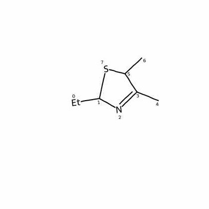 CCC1N=C(C)C(C)S1